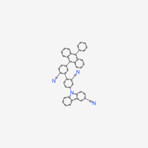 N#Cc1ccc2c(c1)c1ccccc1n2-c1ccc(-c2cc(-c3c4ccccc4c(-c4ccccc4)c4ccccc34)ccc2C#N)c(C#N)c1